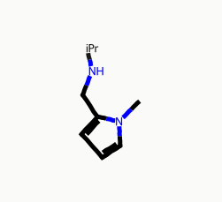 CC(C)NCc1cccn1C